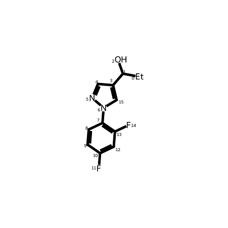 CCC(O)c1cnn(-c2ccc(F)cc2F)c1